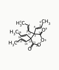 CC=CC1(C=CC)C(=O)OOC(=O)C1(C=CC)C=CC